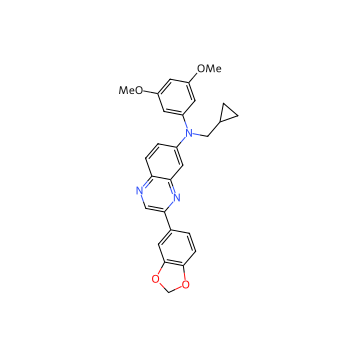 COc1cc(OC)cc(N(CC2CC2)c2ccc3ncc(-c4ccc5c(c4)OCO5)nc3c2)c1